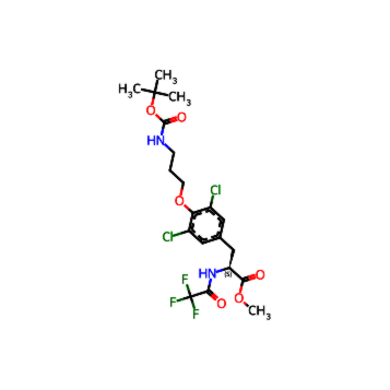 COC(=O)[C@H](Cc1cc(Cl)c(OCCCNC(=O)OC(C)(C)C)c(Cl)c1)NC(=O)C(F)(F)F